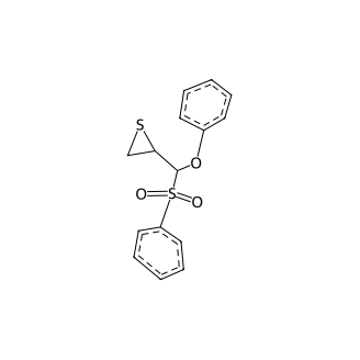 O=S(=O)(c1ccccc1)C(Oc1ccccc1)C1CS1